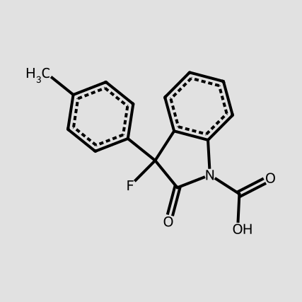 Cc1ccc(C2(F)C(=O)N(C(=O)O)c3ccccc32)cc1